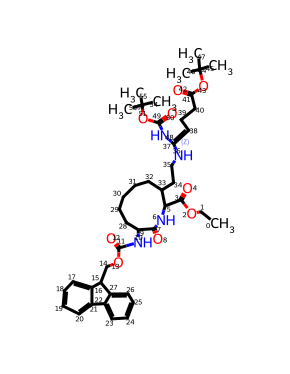 CCOC(=O)C1NC(=O)C(NC(=O)OCC2c3ccccc3-c3ccccc32)CCCCCC1CCN/C(=C/CCC(=O)OC(C)(C)C)NC(=O)OC(C)(C)C